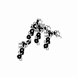 COCC(C)NC(=O)c1ncn(C2CCC3(CC2)CCN(c2cccc(Cl)c2)C3=O)c1C(N)=O.COC[C@@H](C)NC(=O)c1nc[nH]c1C(=O)NC1CCC2(CC1)CCN(c1cccc(Cl)c1)C2=O.COC[C@H](C)NC(=O)c1nc[nH]c1C(=O)NC1CCC2(CC1)CCN(c1cccc(Cl)c1)C2=O.O=C(NC1CCC2(CC1)CCN(c1cccc(Cl)c1)C2=O)c1[nH]cnc1C(=O)N1CCOCC1